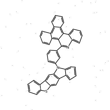 c1cc(-c2nc3ccccc3c3c4ccccc4c4ccccc4c23)cc(-n2c3ccccc3c3cc4sc5ccccc5c4cc32)c1